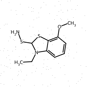 CCN1c2cccc(OC)c2SC1SN